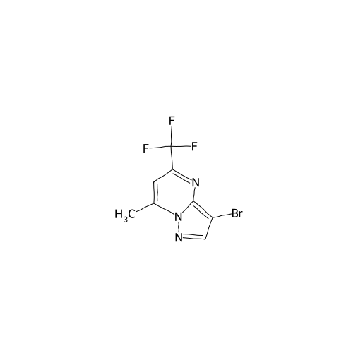 Cc1cc(C(F)(F)F)nc2c(Br)cnn12